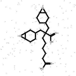 O=C(O)CCCCCC(CC1CCC2OC2C1)(CC1CCC2OC2C1)C(=O)O